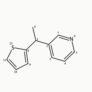 CC(c1cccnc1)c1cccs1